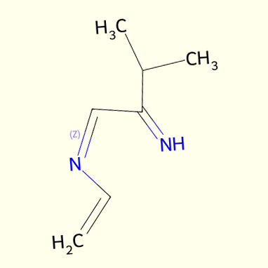 C=C/N=C\C(=N)C(C)C